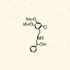 COc1cc(Cl)c(CCNCC(O)c2ccccc2)cc1OC